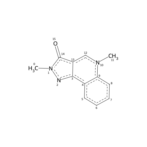 Cn1nc2c3ccccc3n(C)cc-2c1=O